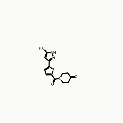 O=C1CCN(C(=O)c2ccc(-c3cc(C(F)(F)F)[nH]n3)s2)CC1